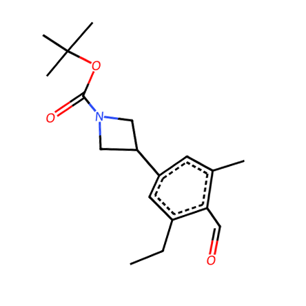 CCc1cc(C2CN(C(=O)OC(C)(C)C)C2)cc(C)c1C=O